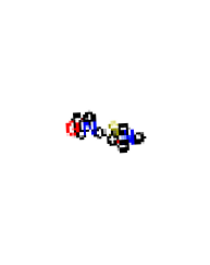 c1ccc(N(c2ccc(-c3cccc4c3sc3cccc(N(c5ccccc5)c5ccccc5)c34)cc2)c2cccc3oc4ccccc4c23)cc1